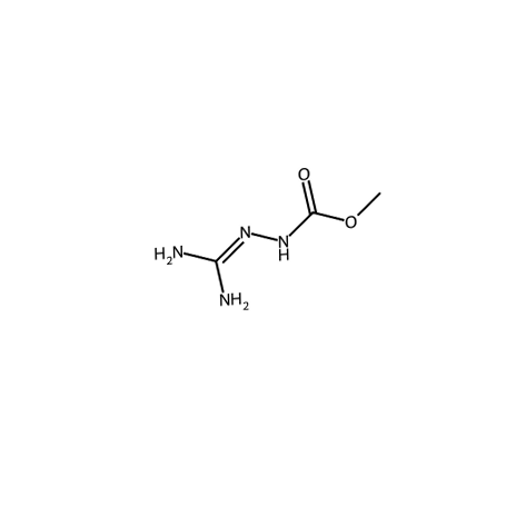 COC(=O)NN=C(N)N